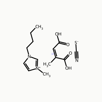 C/C(=C/C(=O)O)C(=O)O.CCCCn1cc[n+](C)c1.N#C[S-]